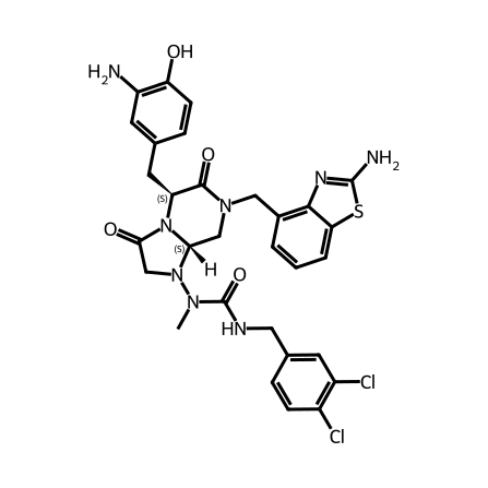 CN(C(=O)NCc1ccc(Cl)c(Cl)c1)N1CC(=O)N2[C@@H](Cc3ccc(O)c(N)c3)C(=O)N(Cc3cccc4sc(N)nc34)C[C@@H]21